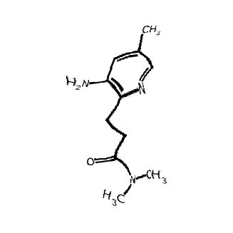 Cc1cnc(CCC(=O)N(C)C)c(N)c1